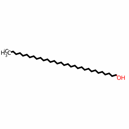 CCCCCCCCCCCCCCCCCCCCCCCCCCCCCCCCO.[C]